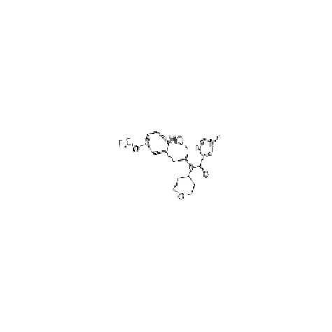 Cn1cnc(C(=O)N(C2CCOCC2)C(CO)Cc2cccc(OC(F)(F)F)c2)c1